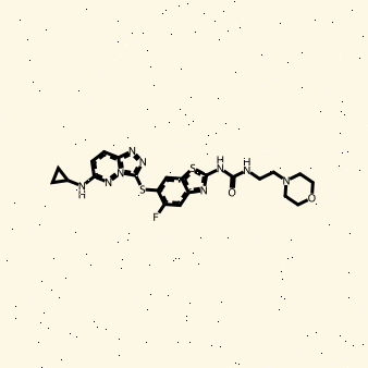 O=C(NCCN1CCOCC1)Nc1nc2cc(F)c(Sc3nnc4ccc(NC5CC5)nn34)cc2s1